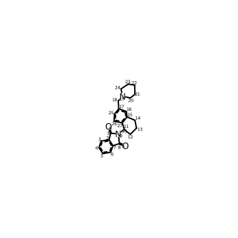 O=C1c2ccccc2C(=O)N1[C@@H]1CCCc2cc(CN3CCCCC3)ccc21